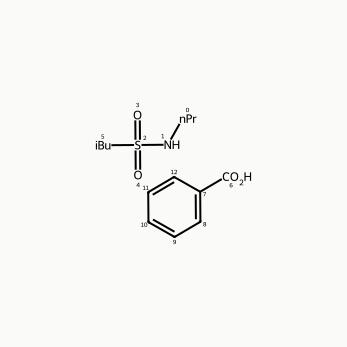 CCCNS(=O)(=O)C(C)CC.O=C(O)c1ccccc1